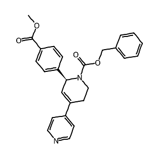 COC(=O)c1ccc([C@@H]2C=C(c3ccncc3)CCN2C(=O)OCc2ccccc2)cc1